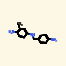 Cc1cc(NCc2ccc(N)cc2)ccc1N